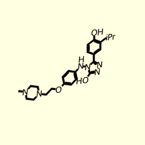 CC(C)c1cc(-c2nnc(O)n2Nc2ccc(OCCN3CCN(C)CC3)cc2)ccc1O